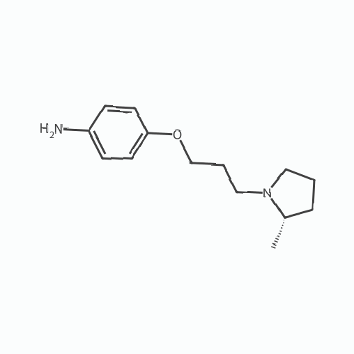 C[C@H]1CCCN1CCCOc1ccc(N)cc1